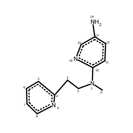 CN(CCc1ccccn1)c1ccc(N)cn1